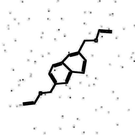 C=COCc1ccc2cc(COC=C)ccc2c1